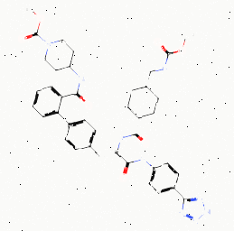 CC(C)(C)OC(=O)NC[C@H]1CC[C@H](C(=O)N[C@@H](Cc2ccc(-c3ccccc3C(=O)NC3CCN(C(=O)OC(C)(C)C)CC3)cc2)C(=O)Nc2ccc(-c3nn[nH]n3)cc2)CC1